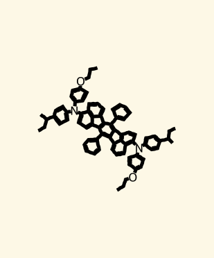 CCCOc1ccc(N(c2ccc(C(C)CC)cc2)c2ccc3c4c(-c5ccccc5)c5c6cccc7c(N(c8ccc(OCCC)cc8)c8ccc(C(C)CC)cc8)ccc(c5c(-c5ccccc5)c4c4cccc2c43)c76)cc1